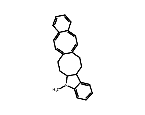 CN1c2ccccc2C2CCC3=C/C=c4/cccc/c4=C/C=C\3CCC21